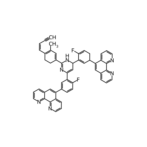 C#C/C=C\C1=C(C)C=C(C2=NC(c3cc(-c4cc5cccnc5c5ncccc45)ccc3F)=CC(C3=CC(c4cc5cccnc5c5ncccc45)CC=C3F)N2)CC1